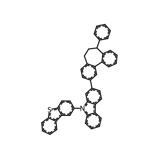 c1ccc(C2CCc3ccc(-c4ccc5c6ccccc6n(-c6ccc7sc8ccccc8c7c6)c5c4)cc3-c3ccccc32)cc1